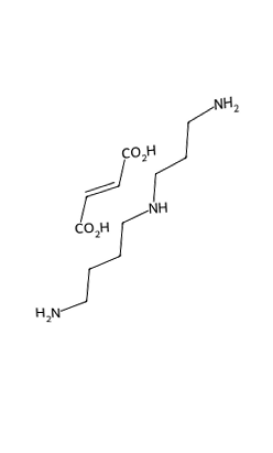 NCCCCNCCCN.O=C(O)/C=C/C(=O)O